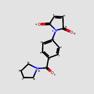 O=C(c1ccc(N2C(=O)C=CC2=O)cc1)N1CCCC1